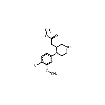 COC(=O)CC1CNCCN1c1ccc(Cl)c(OC)c1